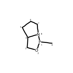 CP1OCC2CCCN21